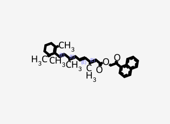 CC1=C(/C=C/C(C)=C/C=C/C(C)=C/C(=O)OCC(=O)c2cccc3ccccc23)C(C)(C)CCC1